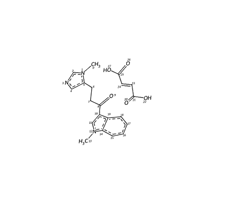 Cn1cncc1CCC(=O)c1cn(C)c2ccccc12.O=C(O)C=CC(=O)O